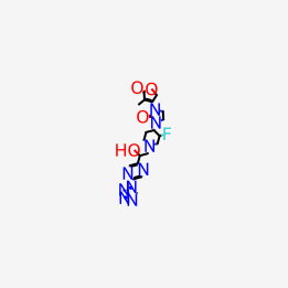 CC1=C(N2CCN(C3CCN(CC(O)c4cnc(-n5cnnn5)cn4)CC3F)C2=O)COC1=O